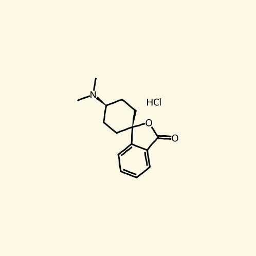 CN(C)[C@H]1CC[C@@]2(CC1)OC(=O)c1ccccc12.Cl